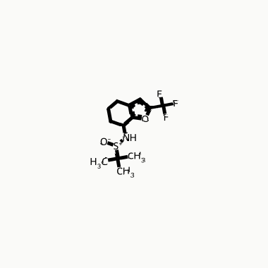 CC(C)(C)[S+]([O-])NC1CCCc2cc(C(F)(F)F)oc21